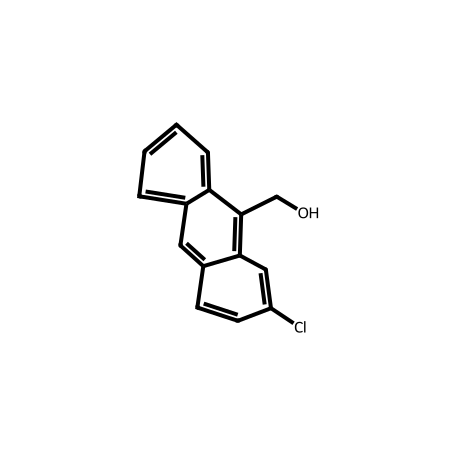 OCc1c2ccccc2cc2ccc(Cl)cc12